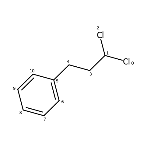 ClC(Cl)CCc1ccccc1